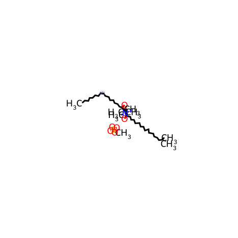 CCCCCCCC/C=C\CCCCCCCC(=O)C(C)(C)[N+](C)(C)C(=O)CCCCCCCCCCCCCCC(C)C.COS(=O)(=O)[O-]